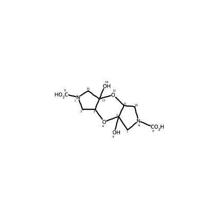 O=C(O)N1CC2OC3(O)CN(C(=O)O)CC3OC2(O)C1